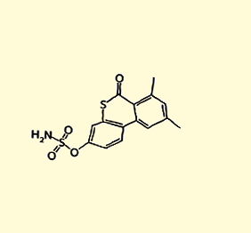 Cc1cc(C)c2c(=O)sc3cc(OS(N)(=O)=O)ccc3c2c1